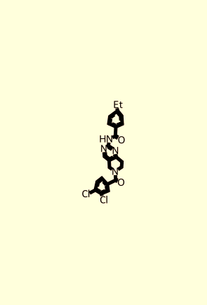 CCc1ccc(C(=O)Nc2ncc3c(n2)CCN(C(=O)c2ccc(Cl)c(Cl)c2)C3)cc1